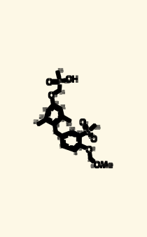 COCOc1ccc(Cc2c(C)cc(OCP(C)(=O)O)cc2C)cc1S(C)(=O)=O